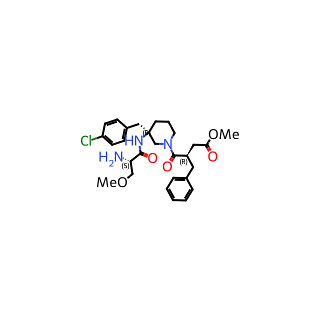 COC[C@H](N)C(=O)N[C@@]1(Cc2ccc(Cl)cc2)CCCN(C(=O)[C@@H](CC(=O)OC)Cc2ccccc2)C1